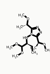 CC[C@H](Nn1c([C@H](C)OC)nnc1[C@H](C)OC)C(OC)OC